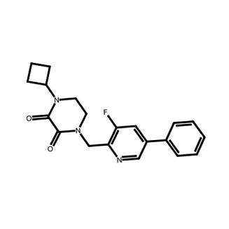 O=C1C(=O)N(C2CCC2)CCN1Cc1ncc(-c2ccccc2)cc1F